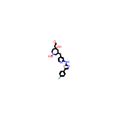 O=CCC1(O)CCN(O)CC(Cc2ccnc(Nc3ncc(-c4ccc(F)cc4)s3)c2)C1